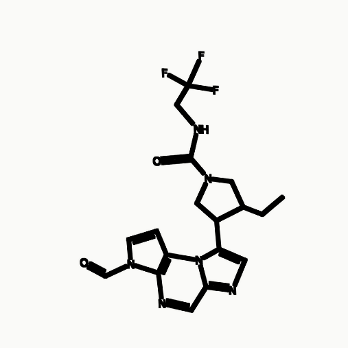 CCC1CN(C(=O)NCC(F)(F)F)CC1c1cnc2cnc3c(ccn3C=O)n12